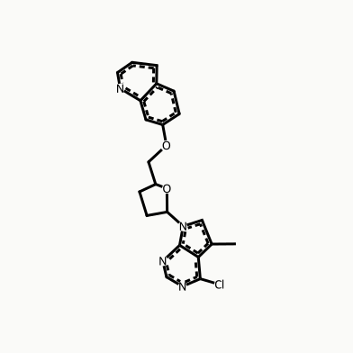 Cc1cn(C2CCC(COc3ccc4cccnc4c3)O2)c2ncnc(Cl)c12